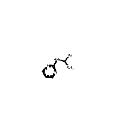 CC(=O)C(C)Nc1ncccn1